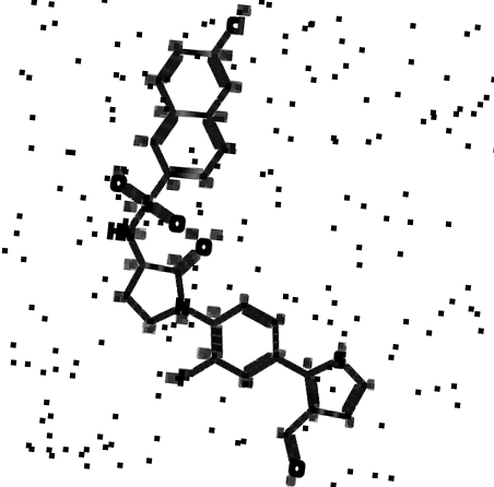 O=Cc1ccsc1-c1ccc(N2CCC(NS(=O)(=O)c3ccc4cc(Cl)ccc4c3)C2=O)c(F)c1